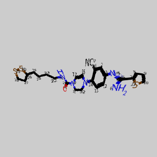 N#Cc1cc(/N=C(\N)c2cccs2)ccc1N1CCN(C(=O)NCCCCC2CCSS2)CC1